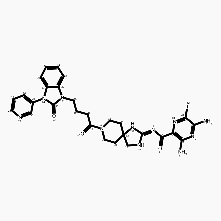 Nc1nc(N)c(C(=O)/N=C2\NCC3(CCN(C(=O)CCCn4c(=O)n(-c5cccnc5)c5ccccc54)CC3)N2)nc1I